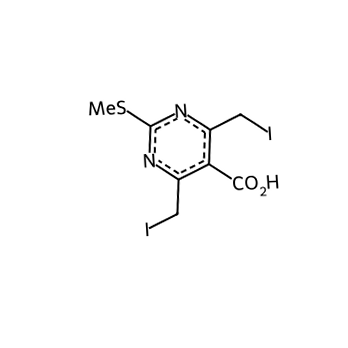 CSc1nc(CI)c(C(=O)O)c(CI)n1